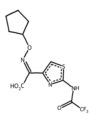 O=C(O)C(=NOC1CCCC1)c1csc(NC(=O)C(F)(F)F)n1